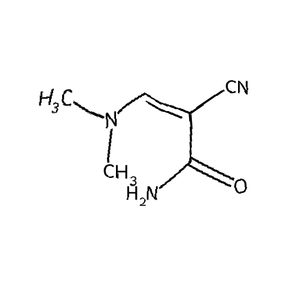 CN(C)C=C(C#N)C(N)=O